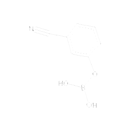 N#Cc1cccc(OB(O)O)c1